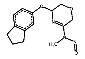 CN(N=O)C1=NC(Oc2ccc3c(c2)CCC3)COC1